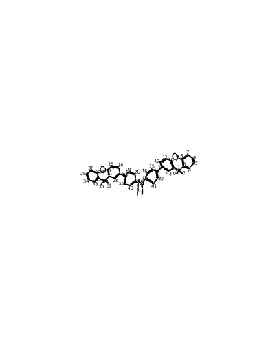 CC1(C)c2ccccc2Oc2ccc(-c3ccc(Nc4ccc(-c5ccc6c(c5)C(C)(C)c5ccccc5O6)cc4)cc3)cc21